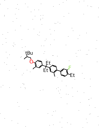 CCc1ccc(-c2ccc(C(CC)(CC)c3ccc(OCC(C)C(C)(C)C)c(C)c3)cc2C)cc1F